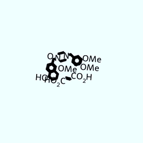 COc1cc(CN2CCN(C(=O)c3ccc4c(c3)CCCC4O)CC2)cc(OC)c1OC.O=C(O)C=CC(=O)O